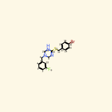 Fc1cccc(CN2CN=C(SCc3ccc(Br)cc3)NC2)c1